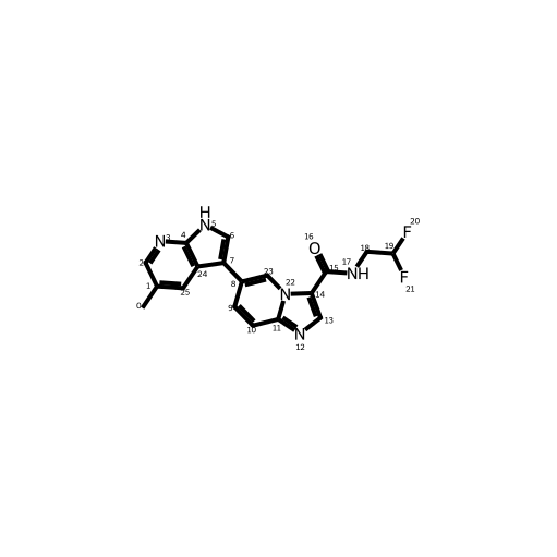 Cc1cnc2[nH]cc(-c3ccc4ncc(C(=O)NCC(F)F)n4c3)c2c1